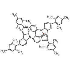 Cc1cc(C)c(-c2ccc3c(c2)c2cc(-c4c(C)cc(C)cc4C)ccc2n3-c2ccc(C#N)cc2-c2c(-n3c4ccc(-c5c(C)cc(C)cc5C)cc4c4cc(-c5c(C)cc(C)cc5C)ccc43)cccc2C(F)(F)F)c(C)c1